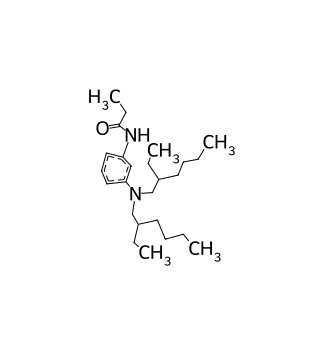 CCCCC(CC)CN(CC(CC)CCCC)c1cccc(NC(=O)CC)c1